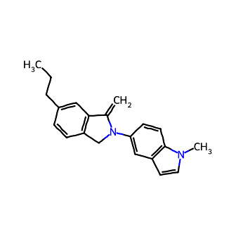 C=C1c2cc(CCC)ccc2CN1c1ccc2c(ccn2C)c1